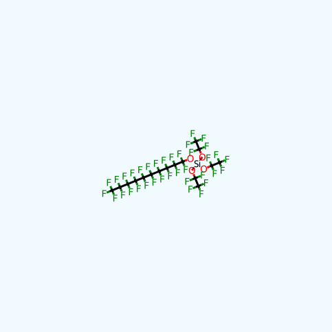 FC(F)(F)C(F)(F)O[Si](OC(F)(F)C(F)(F)F)(OC(F)(F)C(F)(F)F)OC(F)(F)C(F)(F)C(F)(F)C(F)(F)C(F)(F)C(F)(F)C(F)(F)C(F)(F)C(F)(F)C(F)(F)F